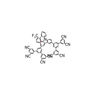 N#Cc1cc(C#N)cc(-c2cc(-c3cc(C#N)cc(C#N)c3)cc(-c3ccc4c(c3)c3cc(-c5cc(-c6cc(C#N)cc(C#N)c6)cc(-c6cc(C#N)cc(C#N)c6)c5)ccc3n4-c3ccccc3-c3ccccc3C(F)(F)F)c2)c1